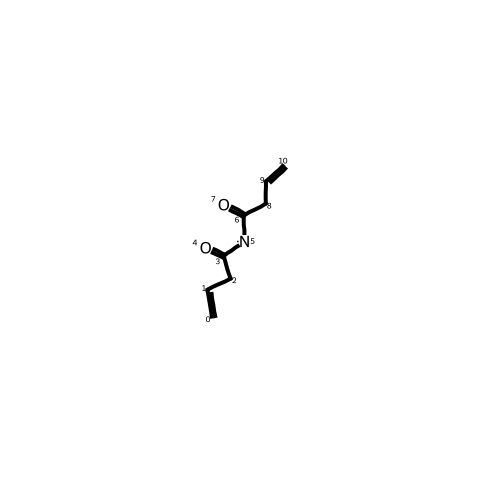 C=CCC(=O)[N]C(=O)CC=C